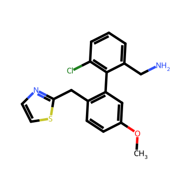 COc1ccc(Cc2nccs2)c(-c2c(Cl)cccc2CN)c1